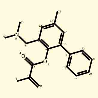 C=C(C)C(=O)Oc1c(CN(C)C)cc(C)cc1-c1ccccc1